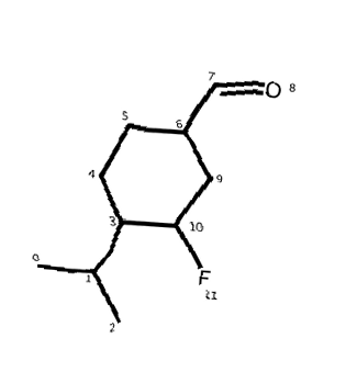 CC(C)C1CCC(C=O)CC1F